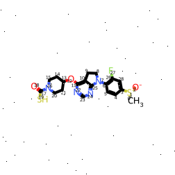 C[S+]([O-])c1ccc(N2CCc3c(OC4CCN(C(=O)S)CC4)ncnc32)c(F)c1